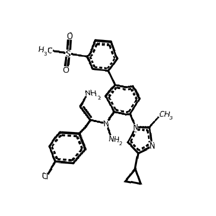 Cc1nc(C2CC2)cn1-c1ccc(-c2cccc(S(C)(=O)=O)c2)cc1N(N)/C(=C\N)c1ccc(Cl)cc1